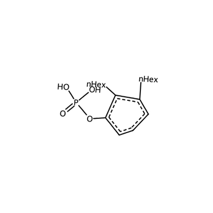 CCCCCCc1cccc(OP(=O)(O)O)c1CCCCCC